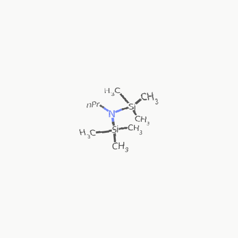 CCCN([Si](C)(C)C)[Si](C)(C)C